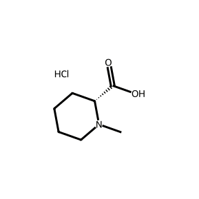 CN1CCCC[C@@H]1C(=O)O.Cl